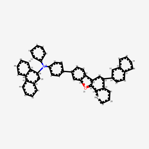 c1ccc(N(c2ccc(-c3ccc4c(c3)oc3c5ccccc5c(-c5ccc6ccccc6c5)cc43)cc2)c2cc3ccccc3c3ccccc23)cc1